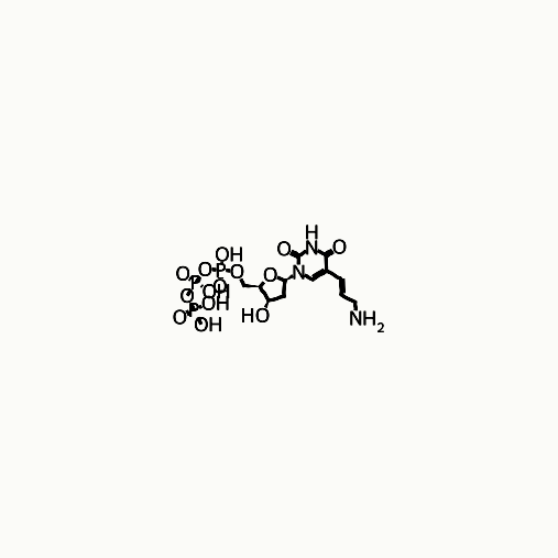 NC/C=C/c1cn([C@H]2C[C@@H](O)[C@@H](COP(=O)(O)OP(=O)(O)OP(=O)(O)O)O2)c(=O)[nH]c1=O